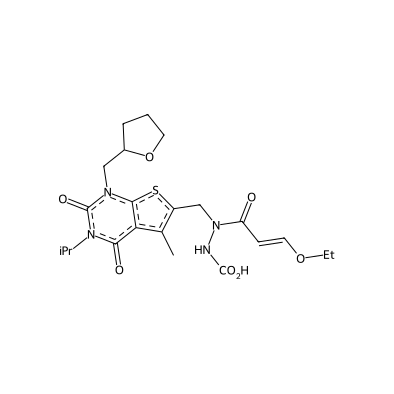 CCOC=CC(=O)N(Cc1sc2c(c1C)c(=O)n(C(C)C)c(=O)n2CC1CCCO1)NC(=O)O